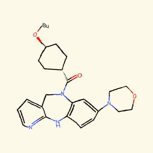 CCC(C)O[C@H]1CC[C@H](C(=O)N2Cc3cccnc3Nc3ccc(N4CCOCC4)cc32)CC1